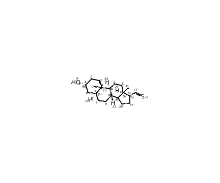 C[C@]12CC[C@@H](O)C[C@@H]1CC[C@@H]1[C@@H]2CC[C@]2(C)[C@@H](C=S)CC[C@@H]12